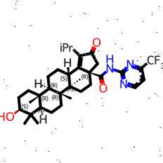 CC(C)C1=C2[C@H]3CC[C@@H]4[C@@]5(C)CC[C@H](O)C(C)(C)[C@@H]5CC[C@@]4(C)[C@]3(C)CC[C@@]2(C(=O)Nc2nccc(C(F)(F)F)n2)CC1=O